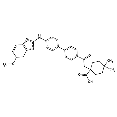 COC1C=Cc2nc(Nc3ccc(-c4ccc(C(=O)CC5(C(=O)O)CCC(C)(C)CC5)cc4)cc3)sc2C1